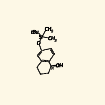 CC(C)(C)[Si](C)(C)Oc1ccc2c(c1)CCC[C@@H]2O